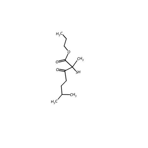 CCCOC(=O)C(C)(S)C(=O)CCC(C)C